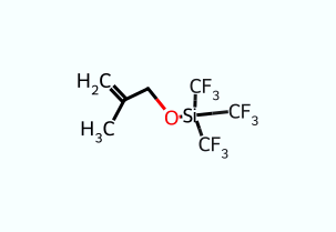 C=C(C)CO[Si](C(F)(F)F)(C(F)(F)F)C(F)(F)F